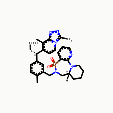 Cc1ccc([C@H](CC(=O)O)c2ccn3c(C(F)(F)F)nnc3c2C)cc1CN1C[C@H]2CCCCN2c2ncccc2S1(=O)=O